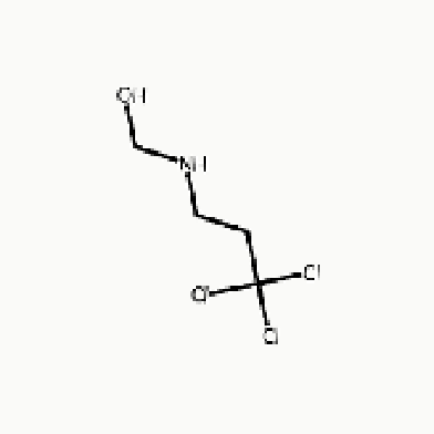 OCNCCC(Cl)(Cl)Cl